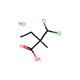 CCC(C)(C(=O)O)C(Cl)Cl.Cl